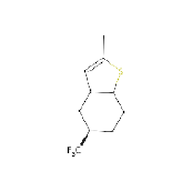 CC1=CC2C[C@H](C(F)(F)F)CCC2S1